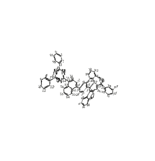 c1ccc(-c2nc(-c3ccccc3)nc(-c3ccc(-c4ccc(-c5c6c(cc7c(-c8ccccc8)nc8ccccc8c57)oc5ccccc56)cc4)c4ccccc34)n2)cc1